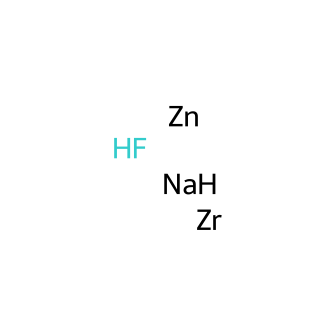 F.[NaH].[Zn].[Zr]